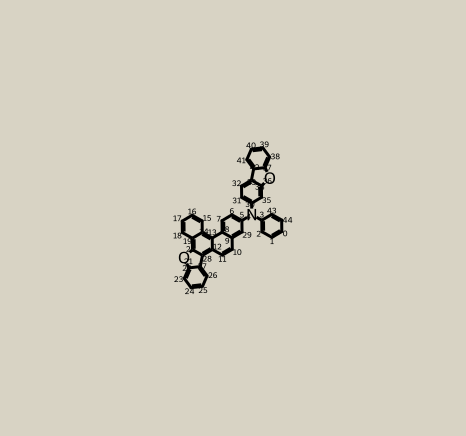 c1ccc(N(c2ccc3c(ccc4c3c3ccccc3c3oc5ccccc5c43)c2)c2ccc3c(c2)oc2ccccc23)cc1